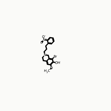 COc1cc2c(c(Br)c1O)CN(CCCc1ccccc1[N+](=O)[O-])CC2